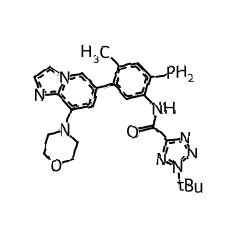 Cc1cc(P)c(NC(=O)c2nnn(C(C)(C)C)n2)cc1-c1cc(N2CCOCC2)c2nccn2c1